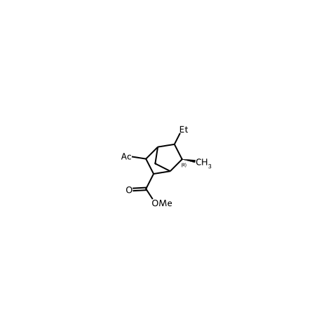 CCC1C2CC(C(C(=O)OC)C2C(C)=O)[C@@H]1C